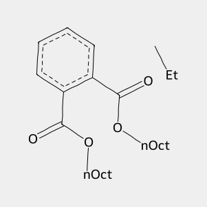 CCC.CCCCCCCCOC(=O)c1ccccc1C(=O)OCCCCCCCC